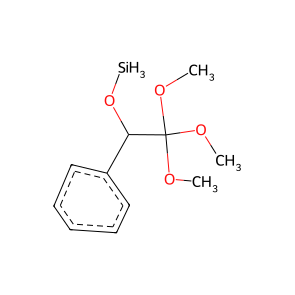 COC(OC)(OC)C(O[SiH3])c1ccccc1